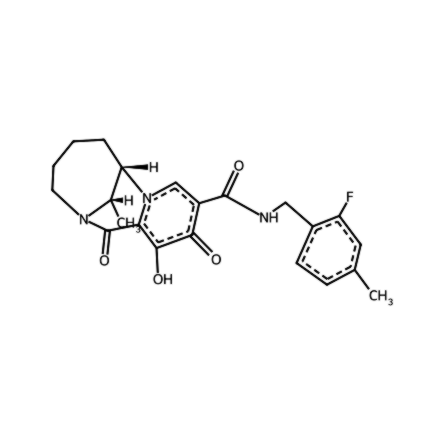 Cc1ccc(CNC(=O)c2cn3c(c(O)c2=O)C(=O)N2CCCC[C@H]3[C@@H]2C)c(F)c1